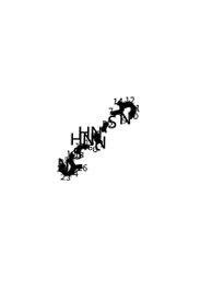 CN=C(NCCSCc1ncccc1C)NCCSCc1ncccc1C